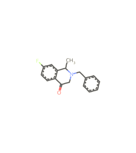 CC1c2cc(F)ccc2C(=O)CN1Cc1ccccc1